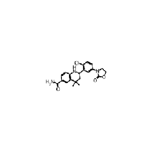 CC1(C)CC(c2cc(N3CCOC3=O)ccc2Cl)Nc2ccc(C(N)=O)cc21